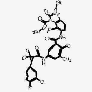 Cc1cc(NC(=O)C2C(c3ccc(F)c(Cl)c3)C2(Cl)Cl)cc(C(=O)Nc2ccc(F)c(N(C(=O)OC(C)(C)C)C(=O)OC(C)(C)C)c2F)c1Cl